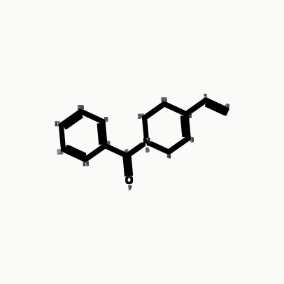 C=CC1=CCN(C(=O)c2ccccc2)CC1